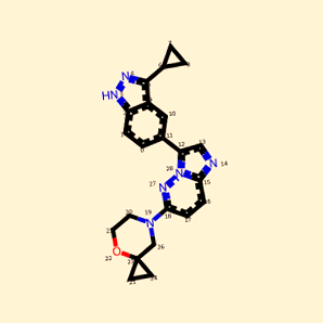 c1cc2[nH]nc(C3CC3)c2cc1-c1cnc2ccc(N3CCOC4(CC4)C3)nn12